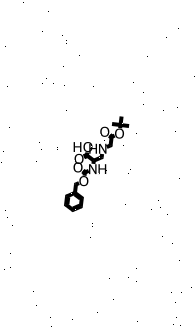 CC(C)(C)OC(=O)CNCC(NC(=O)OCc1ccccc1)C(=O)O